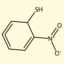 O=[N+]([O-])C1=CC=C=CC1S